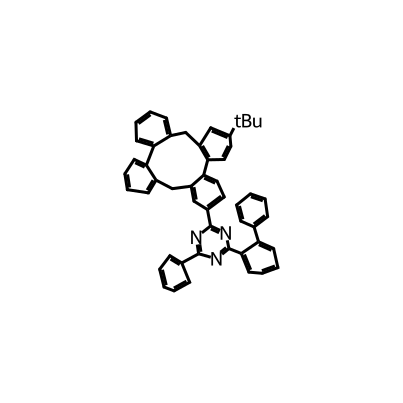 CC(C)(C)c1ccc2c(c1)Cc1ccccc1-c1ccccc1Cc1cc(-c3nc(-c4ccccc4)nc(-c4ccccc4-c4ccccc4)n3)ccc1-2